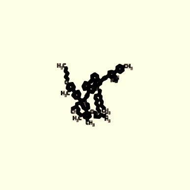 CCCCCCCCC(CCCCCC)Cn1c2cc(C#Cc3ccc(-c4ccc(C)cc4)c4nsnc34)c3cccc4c5cccc6c(C#Cc7c(-c8ccc(-c9ccc(OCCCCCC)cc9C)cc8)c(CC(CC)CCCC)c8cc(-c9ccc(C)cc9OCCCCCC)ccn78)cc1c(c65)c2c34